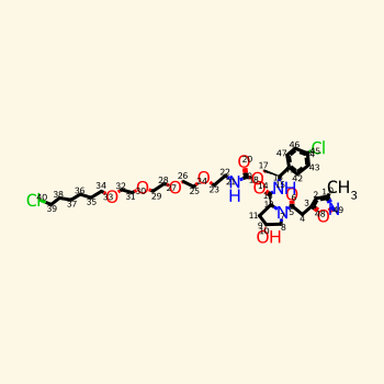 Cc1cc(CC(=O)N2C[C@H](O)C[C@H]2C(=O)N[C@@H](COC(=O)NCCOCCOCCOCCOCCCCCCCl)c2ccc(Cl)cc2)on1